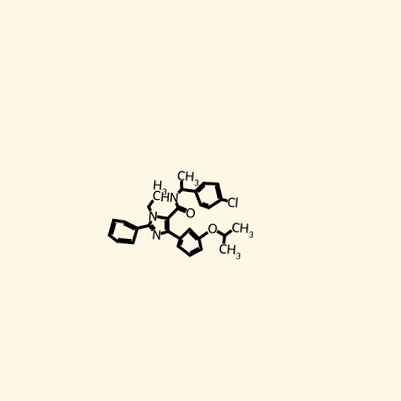 CCn1c(-c2ccccc2)nc(-c2cccc(OC(C)C)c2)c1C(=O)NC(C)c1ccc(Cl)cc1